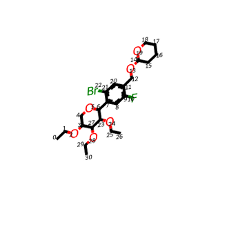 CCOC1COC(c2cc(F)c(COC3CCCCO3)cc2Br)C(OCC)C1OCC